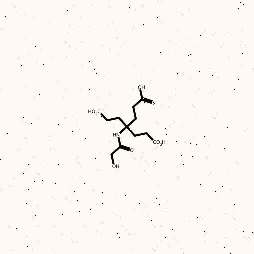 O=C(O)CCC(CCC(=O)O)(CCC(O)=S)NC(=O)CO